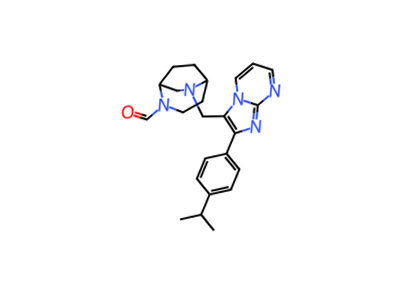 CC(C)c1ccc(-c2nc3ncccn3c2CN2CC3CCC2CCN3C=O)cc1